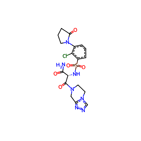 NC(=O)[C@H](NS(=O)(=O)c1cccc(N2CCCC2=O)c1Cl)C(=O)N1CCn2cnnc2C1